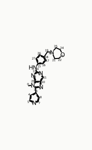 Cn1c(-c2ccncc2)nc2cnc(Nc3ccc(CN4CCOCC4)cc3)nc21